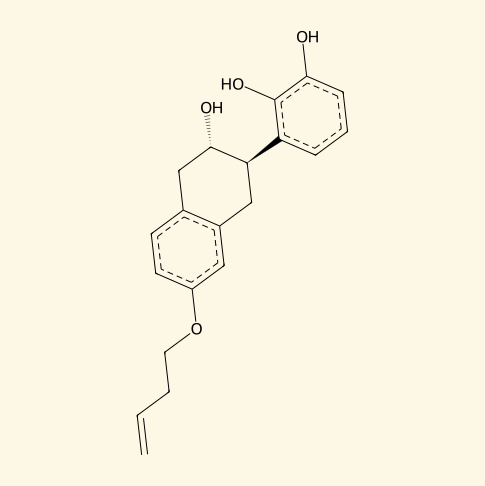 C=CCCOc1ccc2c(c1)C[C@H](c1cccc(O)c1O)[C@@H](O)C2